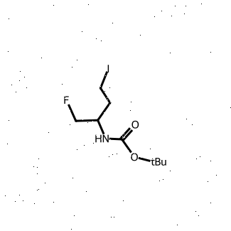 CC(C)(C)OC(=O)NC(CF)CCI